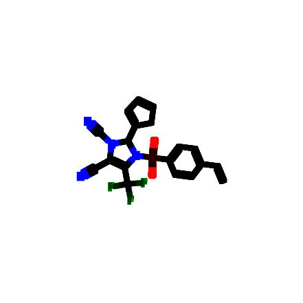 C=Cc1ccc(S(=O)(=O)N2C(C(F)(F)F)=C(C#N)N(C#N)C2C2=CC=CC2)cc1